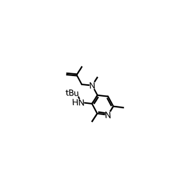 C=C(C)CN(C)c1cc(C)nc(C)c1NC(C)(C)C